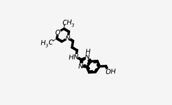 C[C@@H]1CN(CCCNc2nc3ccc(CO)cc3[nH]2)C[C@H](C)O1